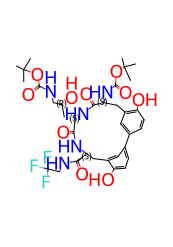 CC(C)(C)OC(=O)NC[C@H](O)C[C@@H]1NC(=O)[C@@H](NC(=O)OC(C)(C)C)Cc2cc(ccc2O)-c2ccc(O)c(c2)C[C@@H](C(=O)NCC(F)(F)F)NC1=O